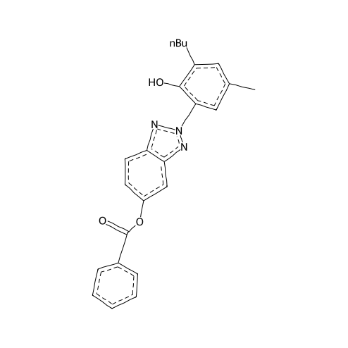 CCCCc1cc(C)cc(-n2nc3ccc(OC(=O)c4ccccc4)cc3n2)c1O